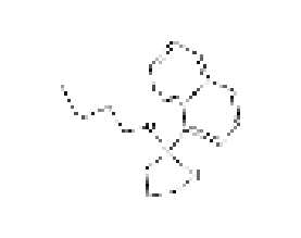 CCCCOC1(c2cccc3ccccc23)CCC[N]1